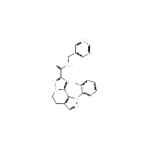 Cc1ccccc1-n1ncc2c1-c1cc(C(=O)NCc3cccnc3)nn1CC2